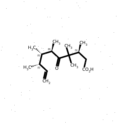 C=C[C@H](C)[C@H](C)[C@@H](C)C(=O)C(C)(C)[C@@H](C)CC(=O)O